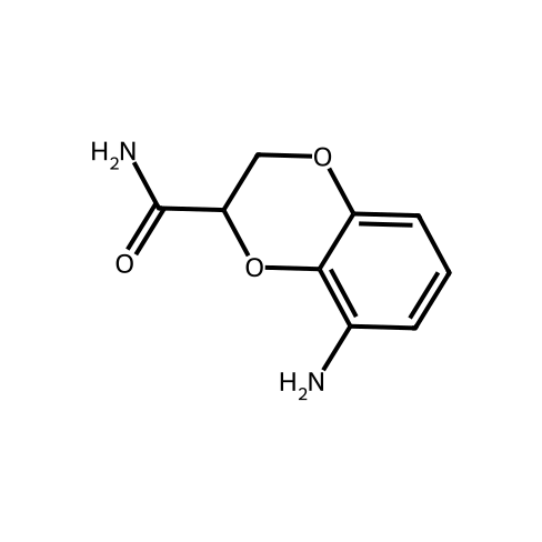 NC(=O)C1COc2cccc(N)c2O1